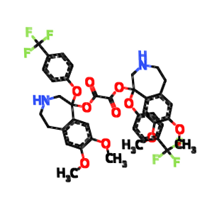 COc1cc2c(cc1OC)C(OC(=O)C(=O)OC1(Oc3ccc(C(F)(F)F)cc3)CNCCc3cc(OC)c(OC)cc31)(Oc1ccc(C(F)(F)F)cc1)CNCC2